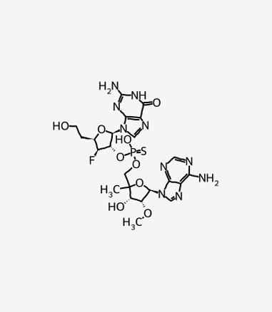 CO[C@H]1[C@H](n2cnc3c(N)ncnc32)OC(C)(COP(O)(=S)O[C@@H]2[C@@H](F)[C@@H](CCO)O[C@H]2n2cnc3c(=O)[nH]c(N)nc32)[C@H]1O